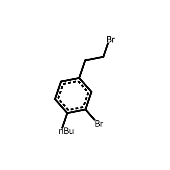 CCCCc1ccc(CCBr)cc1Br